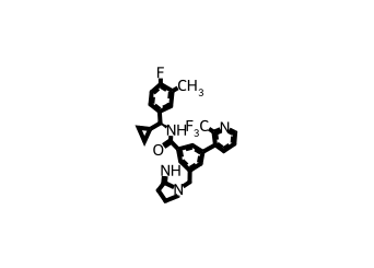 Cc1cc([C@@H](NC(=O)c2cc(CN3CCCC3=N)cc(-c3cccnc3C(F)(F)F)c2)C2CC2)ccc1F